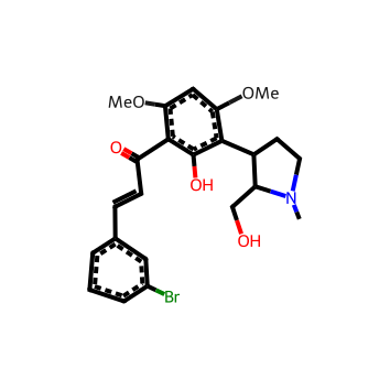 COc1cc(OC)c(C2CCN(C)C2CO)c(O)c1C(=O)/C=C/c1cccc(Br)c1